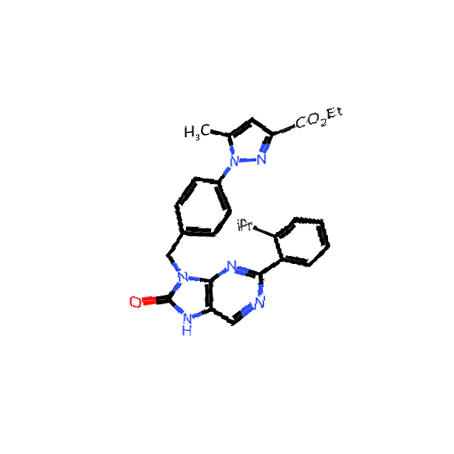 CCOC(=O)c1cc(C)n(-c2ccc(Cn3c(=O)[nH]c4cnc(-c5ccccc5C(C)C)nc43)cc2)n1